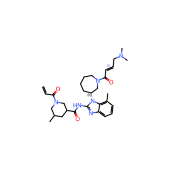 C=CC(=O)N1CC(C)CC(C(=O)Nc2nc3cccc(C)c3n2[C@@H]2CCCCN(C(=O)/C=C/CN(C)C)C2)C1